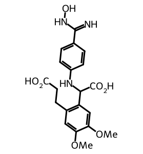 COc1cc(CCC(=O)O)c(C(Nc2ccc(C(=N)NO)cc2)C(=O)O)cc1OC